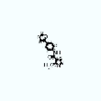 Cc1nnsc1C(=O)Nc1ccc(-c2cnco2)cc1